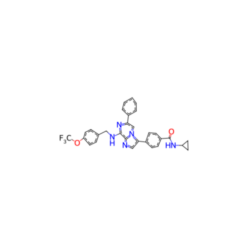 O=C(NC1CC1)c1ccc(-c2cnc3c(NCc4ccc(OC(F)(F)F)cc4)nc(-c4ccccc4)cn23)cc1